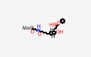 COC(=O)CCNC(=O)CCCCC1=C[C@H]2C[C@@H](O)[C@H](/C=C/[C@@H](O)COc3ccccc3)[C@H]2C1